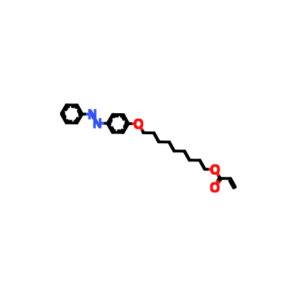 C=CC(=O)OCCCCCCCCCOc1ccc(N=Nc2ccccc2)cc1